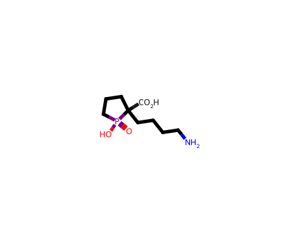 NCCCCC1(C(=O)O)CCCP1(=O)O